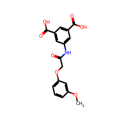 COc1cccc(OCC(=O)Nc2cc(C(=O)O)cc(C(=O)O)c2)c1